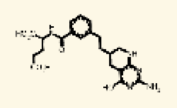 Nc1nc(O)c2c(n1)NCC(CCc1cccc(C(=O)N[C@@H](CCC(=O)O)C(=O)O)c1)C2